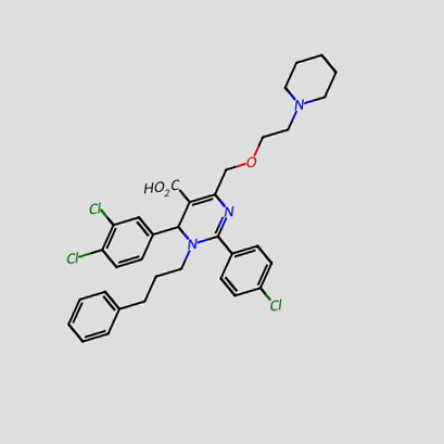 O=C(O)C1=C(COCCN2CCCCC2)N=C(c2ccc(Cl)cc2)N(CCCc2ccccc2)C1c1ccc(Cl)c(Cl)c1